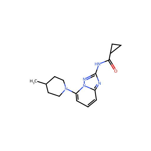 CC1CCN(c2cccc3nc(NC(=O)C4CC4)nn23)CC1